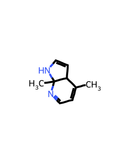 CC1=CC=NC2(C)NC=CC12